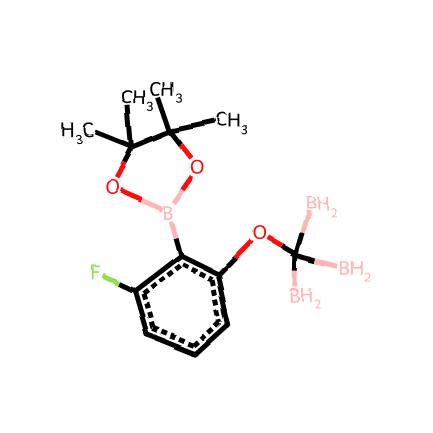 BC(B)(B)Oc1cccc(F)c1B1OC(C)(C)C(C)(C)O1